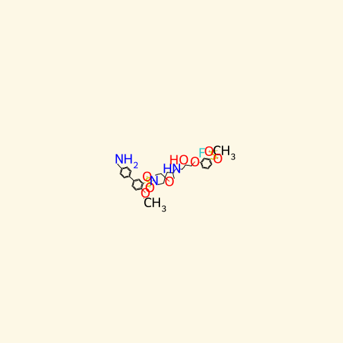 CCOc1ccc(-c2ccc(CN)cc2)cc1S(=O)(=O)N1CCC2(CC1)CC(NCC(O)COc1cccc(S(C)(=O)=O)c1F)CO2